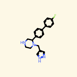 Fc1ccc(-c2ccc(C3CNCCN3Cc3cn[nH]c3)cc2)cc1